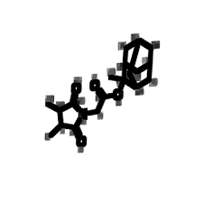 CC1C(=O)N(CC(=O)OC2(C)C3CC4CC(C3)CC2C4)C(=O)C1C